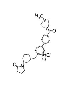 CN1CCN(C(=O)c2ccc(-c3ccc(CC4CCCC(N5CCCC5=O)C4)c(Cl)c3)cc2)CC1.Cl